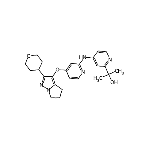 CC(C)(O)c1cc(Nc2cc(Oc3c(C4CCOCC4)nn4c3CCC4)ccn2)ccn1